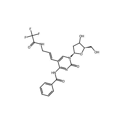 O=C(Nc1nc(=O)n([C@H]2CC(O)[C@@H](CO)O2)cc1C=CCNC(=O)C(F)(F)F)c1ccccc1